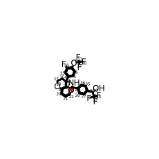 O=C(N[C@]1(c2ccc(OC(F)(F)F)c(F)c2)CCOc2cccnc21)c1ccc(C(O)C(F)(F)F)cc1